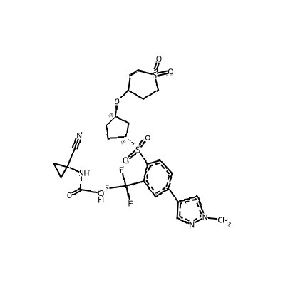 Cn1cc(-c2ccc(S(=O)(=O)[C@@H]3CC[C@@H](OC4CCS(=O)(=O)CC4)C3)c(C(F)(F)F)c2)cn1.N#CC1(NC(=O)O)CC1